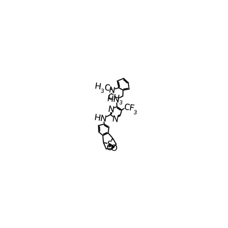 CN(C)c1ccccc1CNc1nc(Nc2ccc3c(c2)C2CCCC3S2(=O)=O)ncc1C(F)(F)F